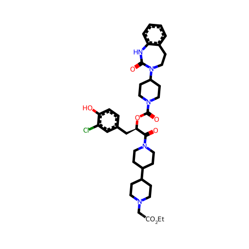 CCOC(=O)CN1CCC(C2CCN(C(=O)[C@@H](Cc3ccc(O)c(Cl)c3)OC(=O)N3CCC(N4CCc5ccccc5NC4=O)CC3)CC2)CC1